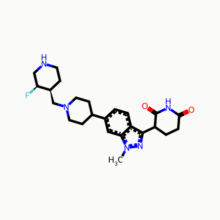 Cn1nc(C2CCC(=O)NC2=O)c2ccc(C3CCN(C[C@@H]4CCNC[C@@H]4F)CC3)cc21